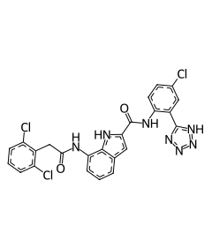 O=C(Cc1c(Cl)cccc1Cl)Nc1cccc2cc(C(=O)Nc3ccc(Cl)cc3-c3nnn[nH]3)[nH]c12